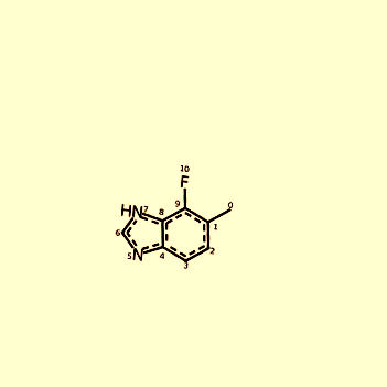 Cc1ccc2nc[nH]c2c1F